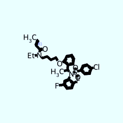 C/C=C/C(=O)N(CC)CCCCOc1ccccc1C(C)N(c1cc(F)ccc1F)S(=O)(=O)c1ccc(Cl)cc1